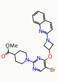 COC(=O)C1CCN(c2ncc(Br)c(OC3CN(c4ccc5ccccc5n4)C3)n2)CC1